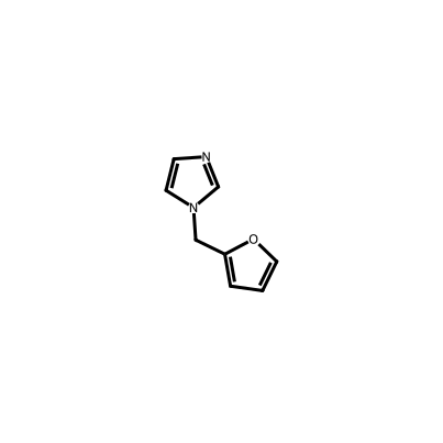 c1coc(Cn2ccnc2)c1